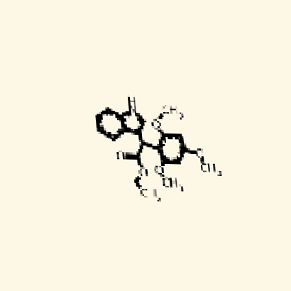 CCOC(=O)C(c1c(OC)cc(OC)cc1OC)c1c[nH]c2ccccc12